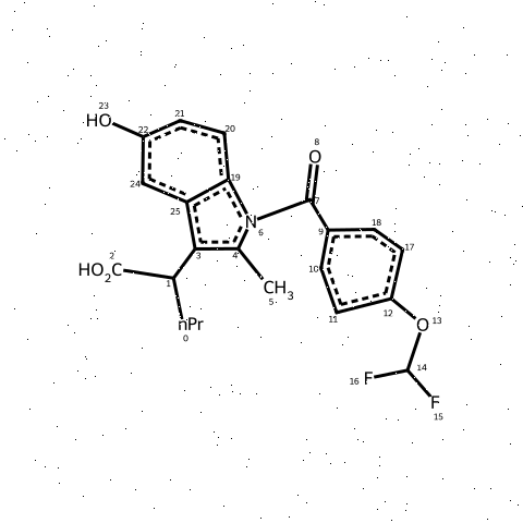 CCCC(C(=O)O)c1c(C)n(C(=O)c2ccc(OC(F)F)cc2)c2ccc(O)cc12